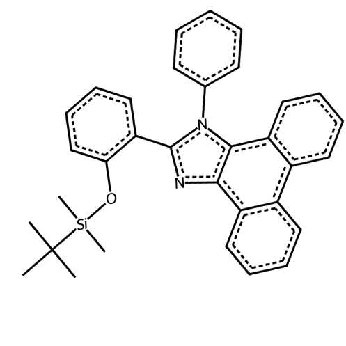 CC(C)(C)[Si](C)(C)Oc1ccccc1-c1nc2c3ccccc3c3ccccc3c2n1-c1ccccc1